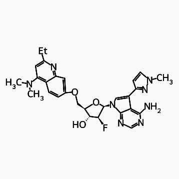 CCc1cc(N(C)C)c2ccc(OC[C@H]3O[C@@H](n4cc(-c5ccn(C)n5)c5c(N)ncnc54)[C@@H](F)[C@@H]3O)cc2n1